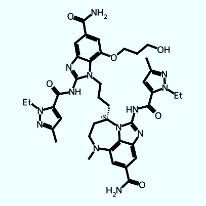 CCn1nc(C)cc1C(=O)Nc1nc2cc(C(N)=O)cc(OCCCO)c2n1CCC[C@H]1CCN(C)c2cc(C(N)=O)cc3nc(NC(=O)c4cc(C)nn4CC)n1c23